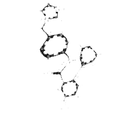 O=C(Nc1ccc(Cn2ccnc2)cc1)c1cc(C(F)(F)F)ccc1-c1ccccc1